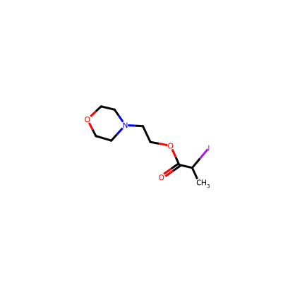 CC(I)C(=O)OCCN1CCOCC1